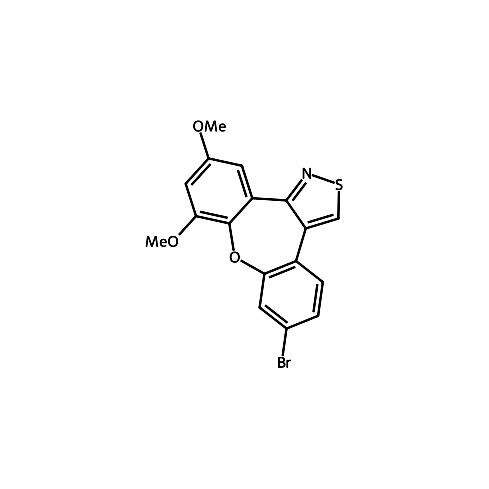 COc1cc(OC)c2c(c1)-c1nscc1-c1ccc(Br)cc1O2